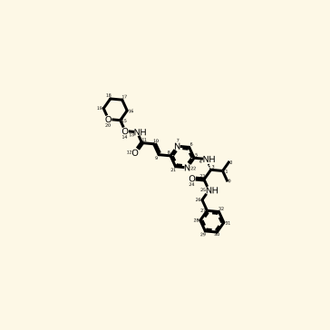 CC(C)[C@@H](Nc1cnc(/C=C/C(=O)NOC2CCCCO2)cn1)C(=O)NCc1ccccc1